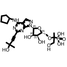 CC(C)(O)C#Cc1nc(NC2CCCC2)c2cnn([C@@H]3O[C@H](COC(C)(CO)P(=O)(O)O)[C@@H](O)[C@H]3O)c2n1